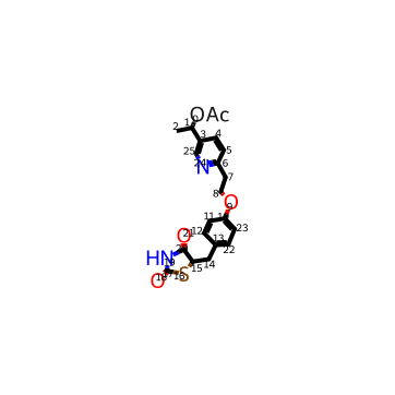 CC(=O)OC(C)c1ccc(CCOc2ccc(CC3SC(=O)NC3=O)cc2)nc1